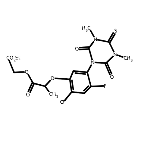 CCOC(=O)COC(=O)C(C)Oc1cc(-n2c(=O)n(C)c(=S)n(C)c2=O)c(F)cc1Cl